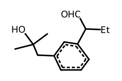 CCC(C=O)c1cccc(CC(C)(C)O)c1